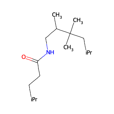 CC(C)CCC(=O)NCC(C)C(C)(C)CC(C)C